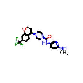 CNc1ccc(NC(=O)N2CCN(C3CCOc4cc(C(F)(F)F)ccc43)CC2)cn1